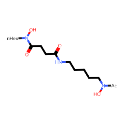 CCCCCCN(O)C(=O)CCC(=O)NCCCCCN(O)C(C)=O